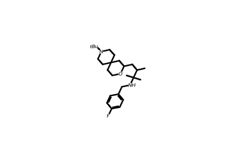 CC(CC1CC2(CCO1)CCN(C(C)(C)C)CC2)C(C)(C)NCc1ccc(F)cc1